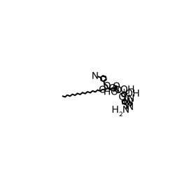 CCCCCCCCCCCCCCCCOC[C@H](COP(=O)(O)OC[C@H]1O[C@@](C#N)(c2ccc3c(N)ncnn23)[C@H](O)[C@@H]1O)OCc1cccc(C#N)c1